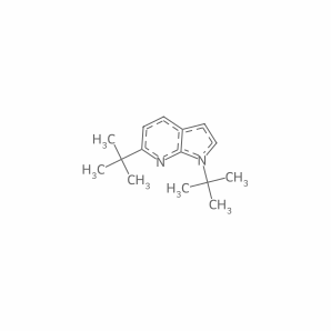 CC(C)(C)c1ccc2ccn(C(C)(C)C)c2n1